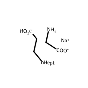 CCCCCCCCCC(=O)O.NCC(=O)[O-].[Na+]